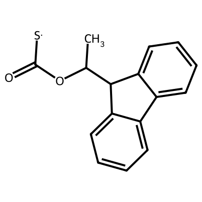 CC(OC(=O)[S])C1c2ccccc2-c2ccccc21